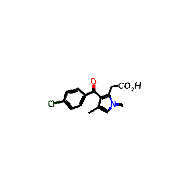 Cc1cn(C)c(CC(=O)O)c1C(=O)c1ccc(Cl)cc1